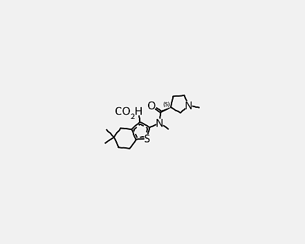 CN1CC[C@H](C(=O)N(C)c2sc3c(c2C(=O)O)CC(C)(C)CC3)C1